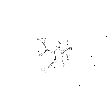 CC1C(=O)N(C(=O)C2CC2)C2=CCN[C@H]21.Cl